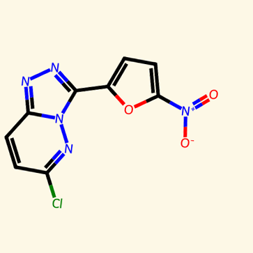 O=[N+]([O-])c1ccc(-c2nnc3ccc(Cl)nn23)o1